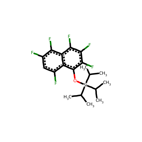 CC(C)[Si](Oc1c(F)c(F)c(F)c2c(F)c(F)[c]c(F)c12)(C(C)C)C(C)C